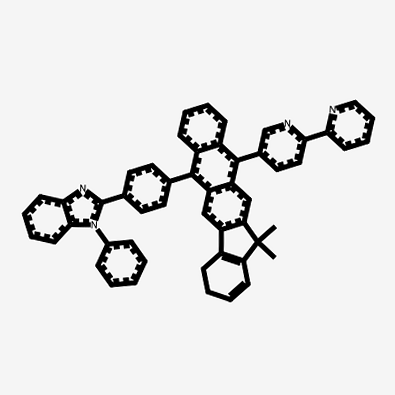 CC1(C)C2=C(CCC=C2)c2cc3c(-c4ccc(-c5nc6ccccc6n5-c5ccccc5)cc4)c4ccccc4c(-c4ccc(-c5ccccn5)nc4)c3cc21